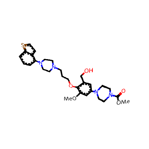 COC(=O)N1CCN(c2cc(CO)c(OCCCN3CCN(c4cccc5sccc45)CC3)c(OC)c2)CC1